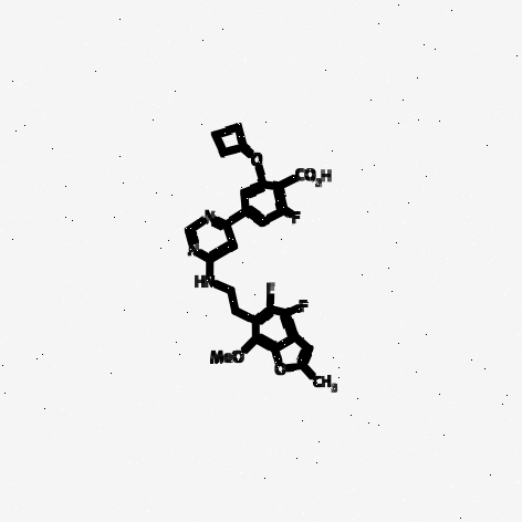 COc1c(CCNc2cc(-c3cc(F)c(C(=O)O)c(OC4CCC4)c3)ncn2)c(F)c(F)c2cc(C)oc12